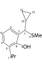 CSC(c1cccc(C(C)C)c1O)C1CC1